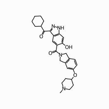 CN1CCC(Oc2ccc3c(c2)CN(C(=O)c2cc4c(C(=O)C5CCCCC5)n[nH]c4cc2O)C3)CC1